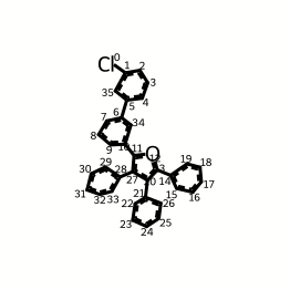 Clc1cccc(-c2cccc(-c3oc(-c4ccccc4)c(-c4ccccc4)c3-c3ccccc3)c2)c1